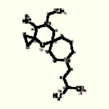 CCN1CC2(CCCN(CCC(C)C)CC2)OC2(CC2)C1O